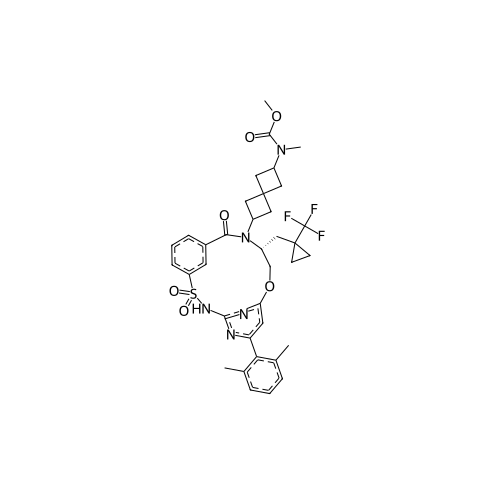 COC(=O)N(C)C1CC2(C1)CC(N1C(=O)c3cccc(c3)S(=O)(=O)Nc3nc(cc(-c4c(C)cccc4C)n3)OC[C@H]1CC1(C(F)(F)F)CC1)C2